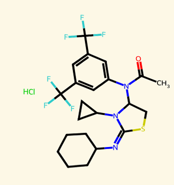 CC(=O)N(c1cc(C(F)(F)F)cc(C(F)(F)F)c1)C1CSC(=NC2CCCCC2)N1C1CC1.Cl